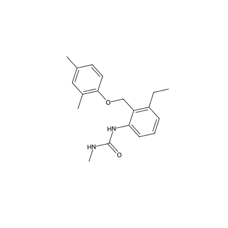 CCc1cccc(NC(=O)NC)c1COc1ccc(C)cc1C